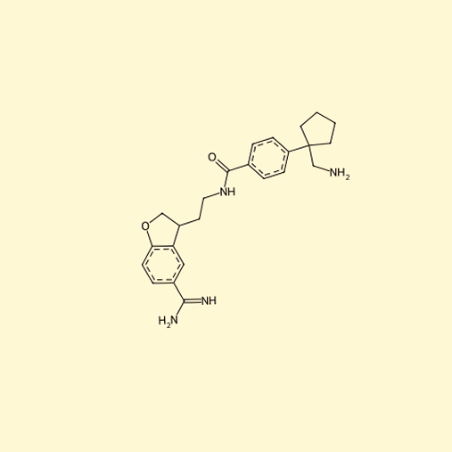 N=C(N)c1ccc2c(c1)C(CCNC(=O)c1ccc(C3(CN)CCCC3)cc1)CO2